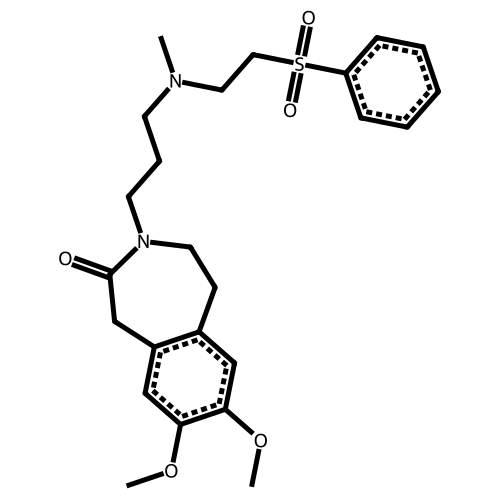 COc1cc2c(cc1OC)CC(=O)N(CCCN(C)CCS(=O)(=O)c1ccccc1)CC2